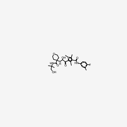 Cc1cc(NC(=O)c2c(C)c(C(=O)C(O)NC3(C(=O)NC(C)(C)CO)CCOCC3)n(C)c2C)ccc1F